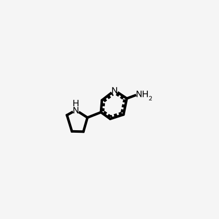 Nc1ccc(C2CCCN2)cn1